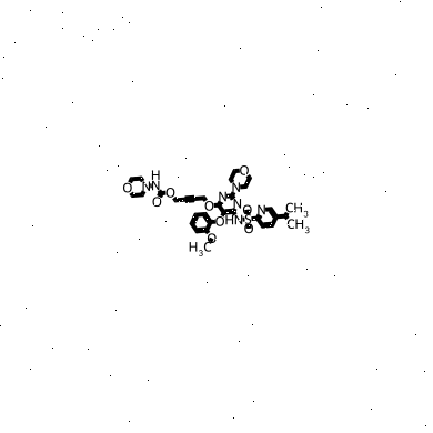 COc1ccccc1Oc1c(NS(=O)(=O)c2ccc(C(C)C)cn2)nc(N2CCOCC2)nc1OCC#CCOC(=O)NN1CCOCC1